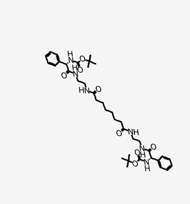 CC(C)(C)OC(=O)N[C@H](C(=O)NCCNC(=O)CCCCCCC(=O)NCCNC(=O)[C@@H](NC(=O)OC(C)(C)C)c1ccccc1)c1ccccc1